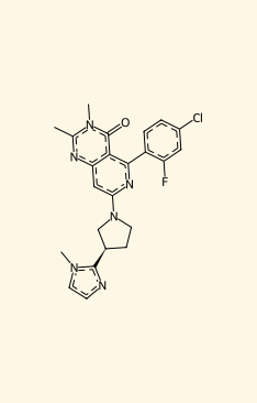 Cc1nc2cc(N3CC[C@@H](c4nccn4C)C3)nc(-c3ccc(Cl)cc3F)c2c(=O)n1C